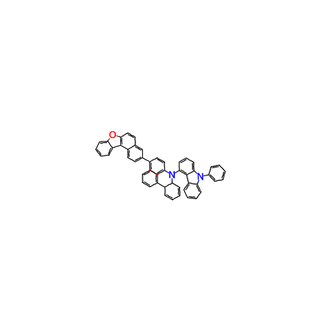 C1=CC(c2ccccc2)C(N(c2ccc(-c3ccc4c(ccc5oc6ccccc6c54)c3)cc2)c2cccc3c2c2ccccc2n3-c2ccccc2)C=C1